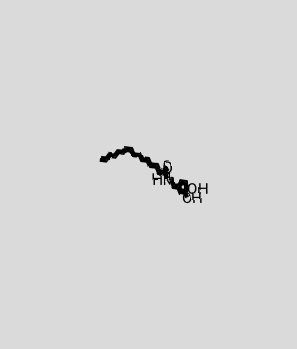 CCCCCC/C=C\CCCCCCCC(=O)NCCc1ccc(O)c(O)c1